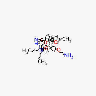 CCCCCN(CCCCC)C(=O)CC[C@@H](C)[C@H]1CC[C@@H](C)[C@]1(C)[C@H](C[C@@H](C)[C@@]1(C)CC[C@@H](OCCCN)CC1C[C@H](C)OCCCC)OCCCN